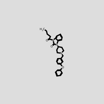 CCCCC(=O)n1c(=O)n(C2CCN(Cc3cccc(Oc4ccccc4)c3)CC2)c2ccccc21